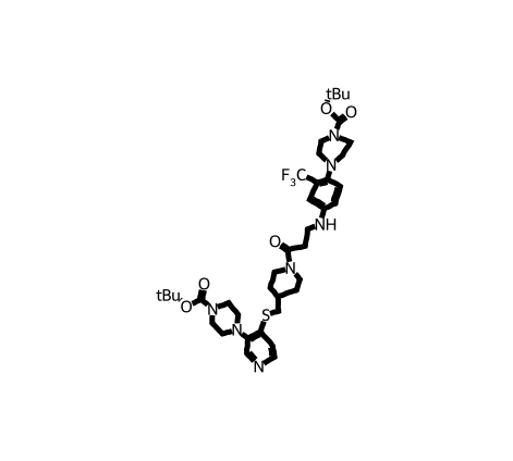 CC(C)(C)OC(=O)N1CCN(c2cnccc2SCC2CCN(C(=O)CCNc3ccc(N4CCN(C(=O)OC(C)(C)C)CC4)c(C(F)(F)F)c3)CC2)CC1